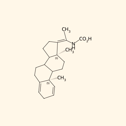 CC(NC(=O)O)=C1CCC2C3CCC4=CCC=C[C@]4(C)C3CC[C@]12C